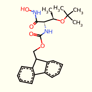 C[C@@H](OC(C)(C)C)[C@H](NC(=O)OCC1c2ccccc2-c2ccccc21)C(=O)NO